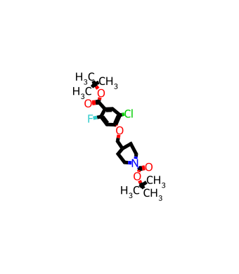 CC(C)(C)OC(=O)c1cc(Cl)c(OCC2CCN(C(=O)OC(C)(C)C)CC2)cc1F